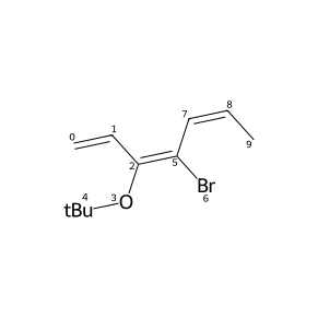 C=C/C(OC(C)(C)C)=C(Br)\C=C/C